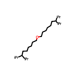 CC(C)C(CCCCCCOCCCCCCC(C(C)C)C(C)C)C(C)C